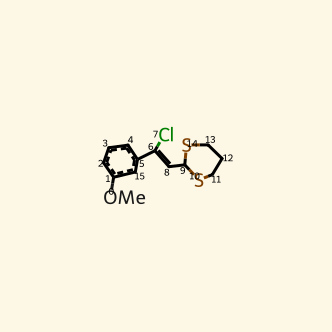 COc1cccc(C(Cl)=CC2SCCCS2)c1